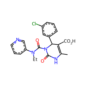 CCN(C(=O)N1C(=O)NC(C)=C(C(=O)O)C1c1cccc(Cl)c1)c1cccnc1